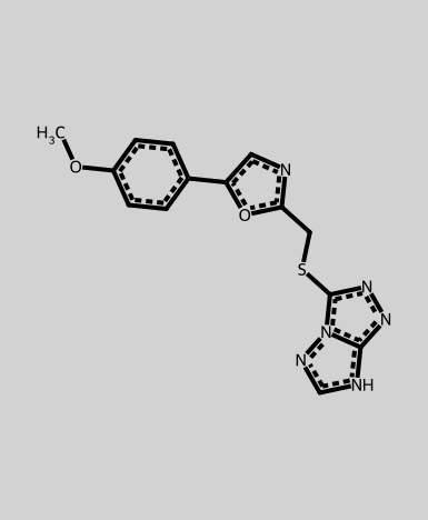 COc1ccc(-c2cnc(CSc3nnc4[nH]cnn34)o2)cc1